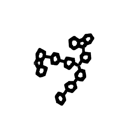 c1ccc(-c2ccc(-c3cccc(N(c4ccc(-c5ccc(-c6cccc7oc8ccccc8c67)cc5)cc4)c4cccc(-n5c6ccccc6c6ccccc65)c4)c3)cc2)cc1